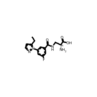 CCc1ccnn1-c1cc(F)cc(C(=O)NC[C@@H](N)C(=O)O)c1